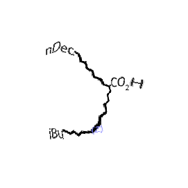 CCCCCCCCCCCCCCCCCCC(CCCCCC/C=C\CCCCCC(C)CC)C(=O)O